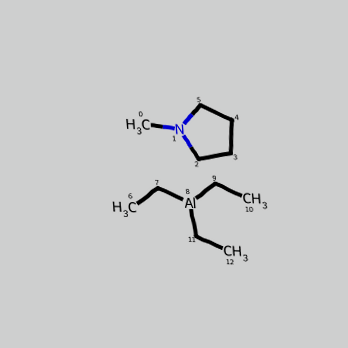 CN1CCCC1.C[CH2][Al]([CH2]C)[CH2]C